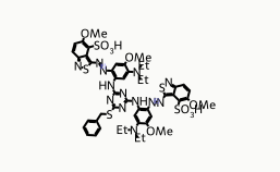 CCN(CC)c1cc(Nc2nc(Nc3cc(N(CC)CC)c(OC)cc3/N=N/c3snc4ccc(OC)c(S(=O)(=O)O)c34)nc(SCc3ccccc3)n2)c(/N=N/c2snc3ccc(OC)c(S(=O)(=O)O)c23)cc1OC